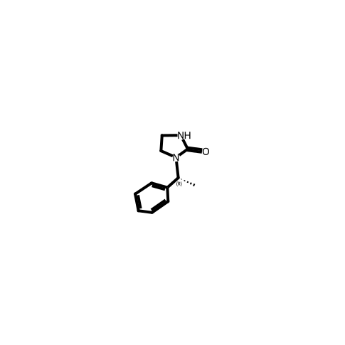 C[C@H](c1ccccc1)N1CCNC1=O